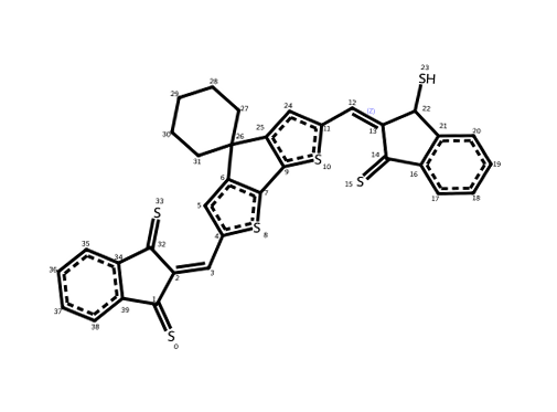 S=C1C(=Cc2cc3c(s2)-c2sc(/C=C4\C(=S)c5ccccc5C4S)cc2C32CCCCC2)C(=S)c2ccccc21